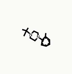 Cc1ccccc1N1CCN(C(C)(C)C)CC1